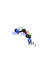 CN1CCN(C2CC(F)(F)c3cc(NC(=O)c4ccc(Cl)c(C#CC5=CNC6C=CC=NN56)c4)ccc32)CC1